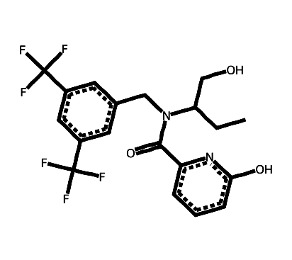 CCC(CO)N(Cc1cc(C(F)(F)F)cc(C(F)(F)F)c1)C(=O)c1cccc(O)n1